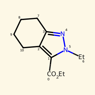 CCOC(=O)c1c2c(nn1CC)CCCC2